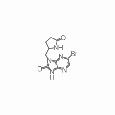 O=C1CCC(Cn2c(=O)[nH]c3ncc(Br)nc32)N1